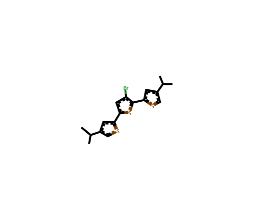 CC(C)c1csc(-c2cc(Br)c(-c3cc(C(C)C)cs3)s2)c1